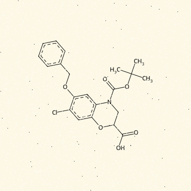 CC(C)(C)OC(=O)N1CC(C(=O)O)Oc2cc(Cl)c(OCc3ccccc3)cc21